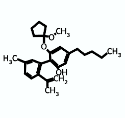 C=C(C)c1ccc(C)cc1-c1c(O)cc(CCCCC)cc1OC1(OC)CCCC1